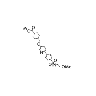 COCCNS(=O)(=O)c1ccc(-c2ccc(OCC3CCN(C(=O)OC(C)C)CC3)cn2)cc1